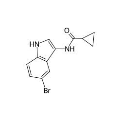 O=C(Nc1c[nH]c2ccc(Br)cc12)C1CC1